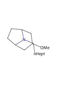 CCCCCCCCN1C2CCC1CC(OC)C2